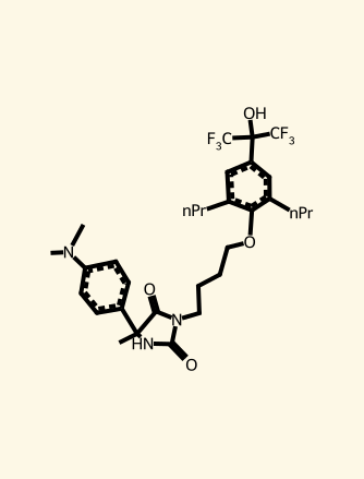 CCCc1cc(C(O)(C(F)(F)F)C(F)(F)F)cc(CCC)c1OCCCCN1C(=O)NC(C)(c2ccc(N(C)C)cc2)C1=O